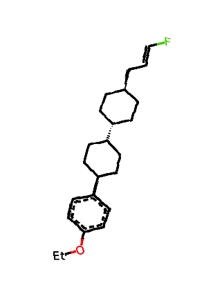 CCOc1ccc(C2CCC([C@H]3CC[C@H](C/C=C/F)CC3)CC2)cc1